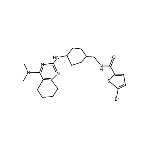 CN(C)c1nc(NC2CCC(CNC(=O)c3ccc(Br)s3)CC2)nc2c1CCCC2